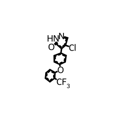 O=c1[nH]ncc(Cl)c1-c1ccc(Oc2ccccc2C(F)(F)F)cc1